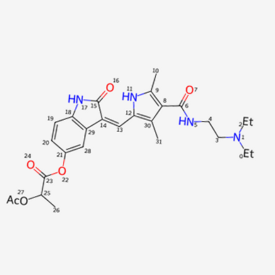 CCN(CC)CCNC(=O)c1c(C)[nH]c(/C=C2\C(=O)Nc3ccc(OC(=O)C(C)OC(C)=O)cc32)c1C